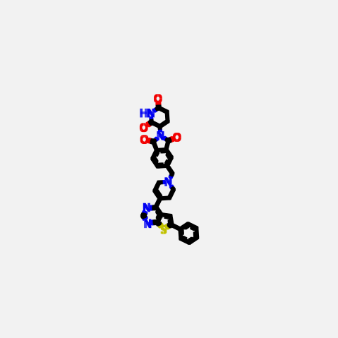 O=C1CCC(N2C(=O)c3ccc(CN4CC=C(c5ncnc6sc(-c7ccccc7)cc56)CC4)cc3C2=O)C(=O)N1